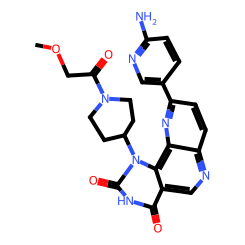 COCC(=O)N1CCC(n2c(=O)[nH]c(=O)c3cnc4ccc(-c5ccc(N)nc5)nc4c32)CC1